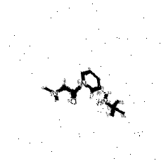 CN(C)CC(=O)N1CCC[C@H](CNC(C)(C)C)C1